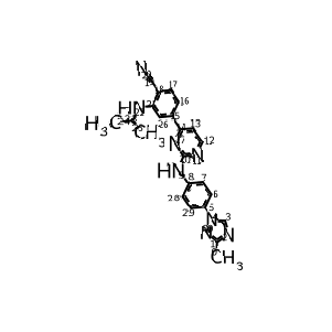 Cc1ncn(-c2ccc(Nc3nccc(-c4ccc(C#N)c(NC(C)C)c4)n3)cc2)n1